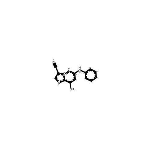 N#Cc1cnc2c(N)cc(Nc3ccccc3)nn12